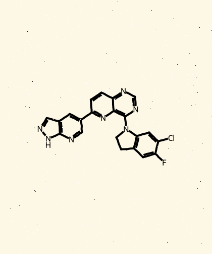 Fc1cc2c(cc1Cl)N(c1ncnc3ccc(-c4cnc5[nH]ncc5c4)nc13)CC2